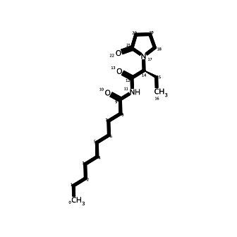 CCCCCCCCCC(=O)NC(=O)[C@H](CC)N1CCCC1=O